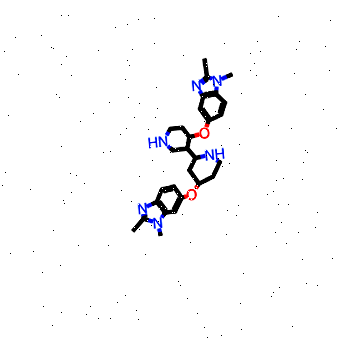 Cc1nc2cc(OC3CCNCC3C3CC(Oc4ccc5nc(C)n(C)c5c4)CCN3)ccc2n1C